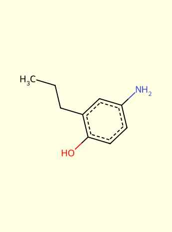 CCCc1cc(N)ccc1O